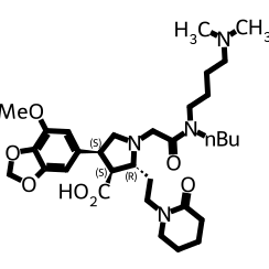 CCCCN(CCCCN(C)C)C(=O)CN1C[C@H](c2cc(OC)c3c(c2)OCO3)[C@H](C(=O)O)[C@H]1CCN1CCCCC1=O